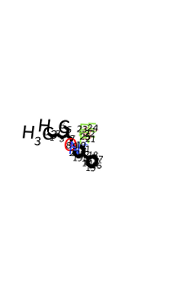 CCCCC(CC)CO[n+]1ccc(-c2ccccc2)cc1.F[B-](F)(F)F